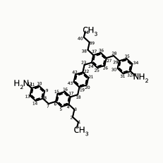 CCCCc1cc(Cc2ccc(N)cc2)ccc1Cc1ccc(Cc2ccc(Cc3ccc(N)cc3)cc2CCCC)cc1